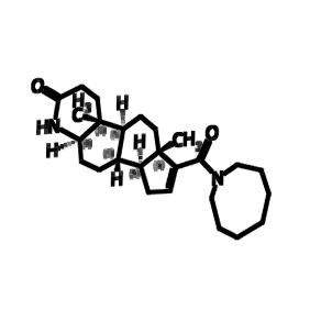 C[C@]12CCC(=O)N[C@@H]1CC[C@@H]1[C@@H]2CC[C@]2(C)C(C(=O)N3CCCCCCC3)=CC[C@@H]12